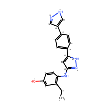 CCc1cc(O)ccc1Nc1cc(-c2ccc(-c3cn[nH]c3)cc2)[nH]n1